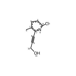 Cc1ccc(Cl)nc1C#CCO